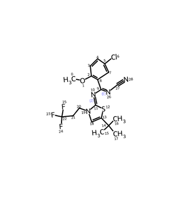 COc1ccc(Cl)cc1C(/N=c1\sc(C(C)(C)C)cn1CCC(F)(F)F)=N\C#N